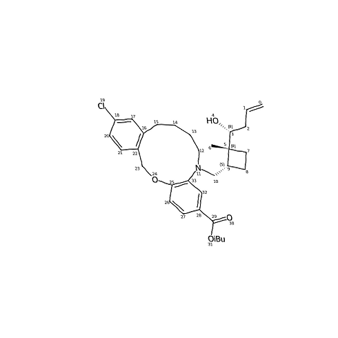 C=CC[C@@H](O)[C@]1(C)CC[C@@H]1CN1CCCCc2cc(Cl)ccc2COc2ccc(C(=O)OCC(C)C)cc21